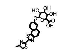 CC1CSC(c2nc3ccc4cc(OC5OC(C(=O)O)C(O)C(O)C5O)ccc4c3s2)=N1